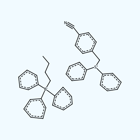 CCCC[B-](c1ccccc1)(c1ccccc1)c1ccccc1.N#Cc1ccc(C[S+](c2ccccc2)c2ccccc2)cc1